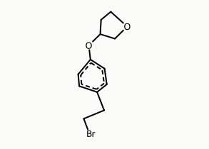 BrCCc1ccc(OC2CCOC2)cc1